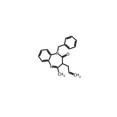 C=CCC1C(=O)N(Cc2ccccc2)c2ccccc2N=C1C